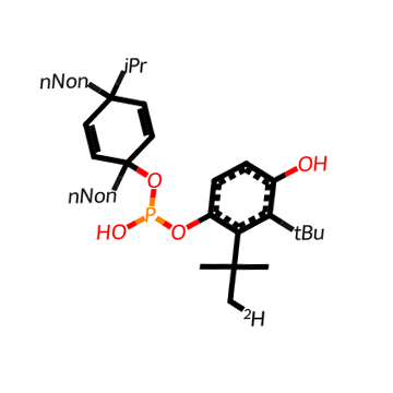 [2H]CC(C)(C)c1c(OP(O)OC2(CCCCCCCCC)C=CC(CCCCCCCCC)(C(C)C)C=C2)ccc(O)c1C(C)(C)C